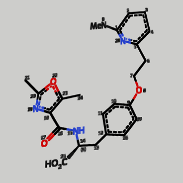 CNc1cccc(CCOc2ccc(C[C@H](NC(=O)c3nc(C)oc3C)C(=O)O)cc2)n1